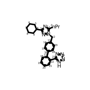 CCCc1nc(C2CCCCC2)nn1Cc1ccc(-c2ccccc2-c2nnn[nH]2)cc1